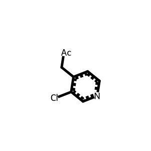 CC(=O)Cc1ccncc1Cl